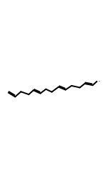 [CH2]C=CCCC=CCCC=CCCC=C